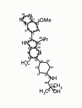 COc1cc(-c2[nH]c3cc(C)c(C4CCC(NCC(C)(C)O)CC4)nc3c2C(C)C)cn2ncnc12